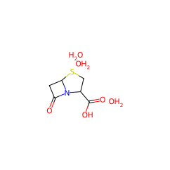 O.O.O.O=C(O)C1CSC2CC(=O)N21